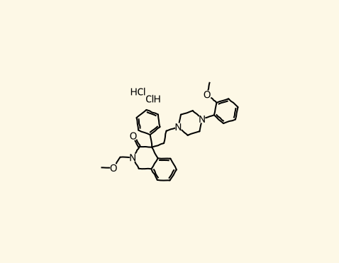 COCN1Cc2ccccc2C(CCN2CCN(c3ccccc3OC)CC2)(c2ccccc2)C1=O.Cl.Cl